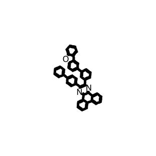 c1ccc(-c2ccc(-c3nc4c5ccccc5c5ccccc5c4nc3-c3cccc(-c4ccc5oc6ccccc6c5c4)c3)cc2)cc1